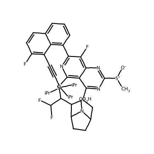 CC(C)[Si](C#Cc1c(F)ccc2cccc(-c3nc4c5c(nc([S+](C)[O-])nc5c3F)N3CC5CCC(C3C(C(F)F)O4)N5C(=O)O)c12)(C(C)C)C(C)C